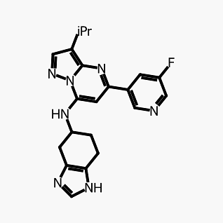 CC(C)c1cnn2c(NC3CCc4[nH]cnc4C3)cc(-c3cncc(F)c3)nc12